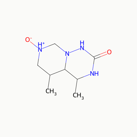 CC1C[NH+]([O-])CN2NC(=O)NC(C)C12